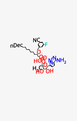 CCCCCCCCCCCCCCCCCC(COP(=O)(O)OC[C@@]1(C)O[C@@H](c2ccc3c(N)ncnn23)[C@H](O)[C@@H]1O)OCc1cc(F)cc(C#N)c1